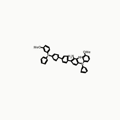 COc1cccc(N(c2ccccc2)c2ccc(-c3ccc(-c4ccc(N(c5ccccc5)c5cccc(OC)c5)c(N)c4N)cc3)cc2)c1